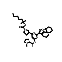 CCCCCC(C)(C)OC(=O)N1CCC(c2cc(O[C@@H](C)[C@@H]3CCCN3C)nc(-c3noc4c3CCC[C@@]43CCCCC3=O)n2)C1